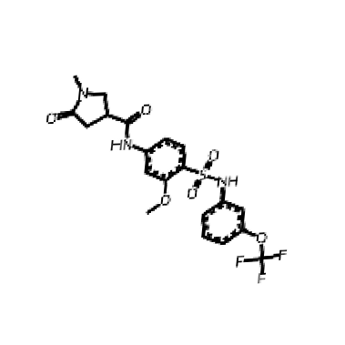 COc1cc(NC(=O)C2CC(=O)N(C)C2)ccc1S(=O)(=O)Nc1cccc(OC(F)(F)F)c1